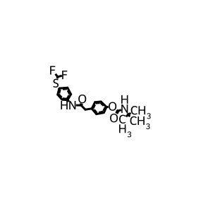 CC(C)(C)NC(=O)Oc1ccc(CC(=O)Nc2ccc(SC(F)F)cc2)cc1